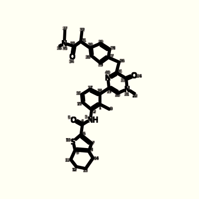 Cc1c(NC(=O)c2cc3c(s2)CCCC3)cccc1-c1cn(C)c(=O)c(Cc2ccc(C(C)C(=O)N(C)C)cc2)n1